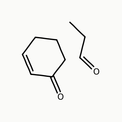 CCC=O.O=C1C=CCCC1